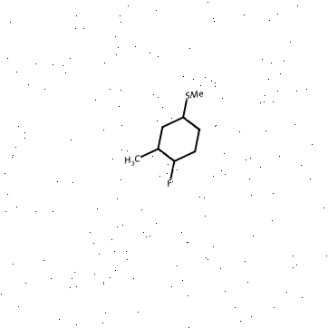 CSC1CCC(F)C(C)C1